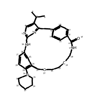 CC(C)c1cnc2nc1-c1ccc(cc1)C(=O)NCCCCOCc1cc(ccc1N1CCCCC1)N2